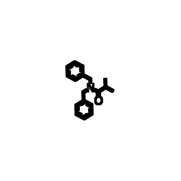 CC(C)C(=O)N(Cc1ccccc1)Cc1ccccc1